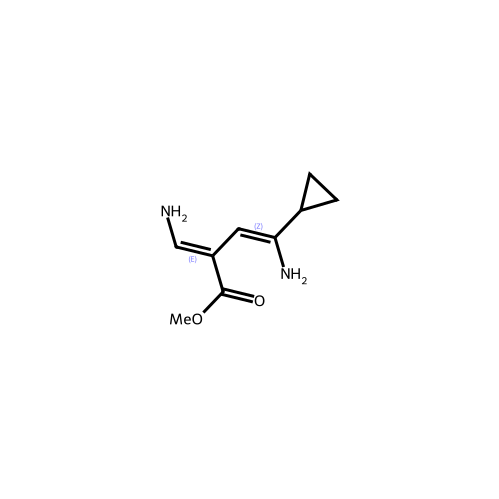 COC(=O)C(/C=C(\N)C1CC1)=C/N